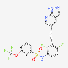 O=S(=O)(Nc1ccc(F)c(C#Cc2cnc3[nH]ncc3c2)c1F)c1cccc(OC(F)(F)F)c1